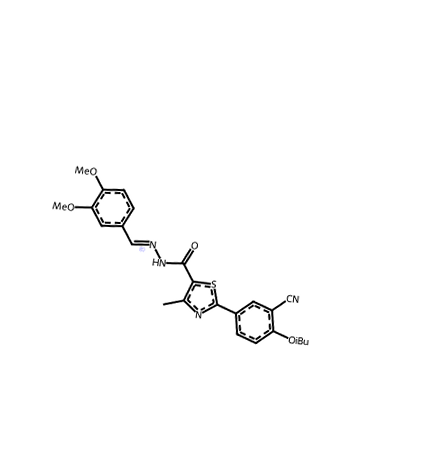 COc1ccc(/C=N/NC(=O)c2sc(-c3ccc(OCC(C)C)c(C#N)c3)nc2C)cc1OC